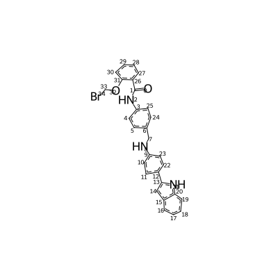 O=C(Nc1ccc(CNc2ccc(-c3cc4ccccc4[nH]3)cc2)cc1)c1ccccc1OCBr